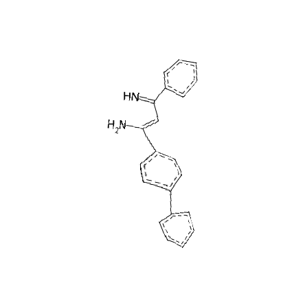 N=C(/C=C(\N)c1ccc(-c2ccccc2)cc1)c1ccccc1